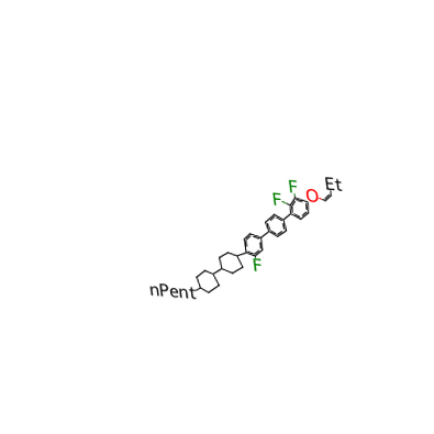 CC/C=C\Oc1ccc(-c2ccc(-c3ccc(C4CCC(C5CCC(CCCCC)CC5)CC4)c(F)c3)cc2)c(F)c1F